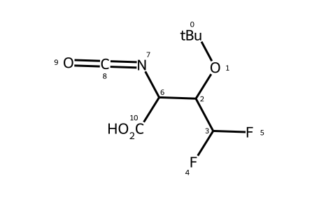 CC(C)(C)OC(C(F)F)C(N=C=O)C(=O)O